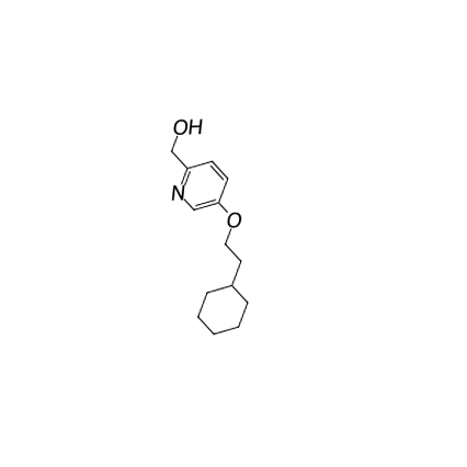 OCc1ccc(OCCC2CCCCC2)cn1